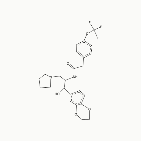 O=C(Cc1ccc(OC(F)(F)F)cc1)NC(CN1CCCC1)C(O)c1ccc2c(c1)OCCO2